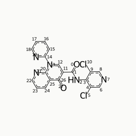 O=C(Nc1c(Cl)cncc1Cl)c1cn(-c2ccccn2)c2ncccc2c1=O